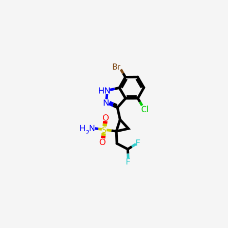 NS(=O)(=O)C1(CC(F)F)CC1c1n[nH]c2c(Br)ccc(Cl)c12